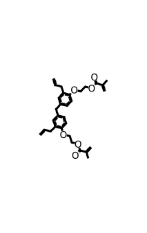 C=CCc1cc(Cc2ccc(OCCOC(=O)C(=C)C)c(CC=C)c2)ccc1OCCOC(=O)C(=C)C